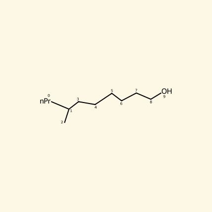 CCCC(C)CCCCCCO